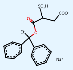 CCC(OC(=O)C(CC(=O)[O-])S(=O)(=O)O)(c1ccccc1)c1ccccc1.[Na+]